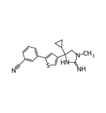 CN1CC(c2csc(-c3cccc(C#N)c3)c2)(C2CC2)NC1=N